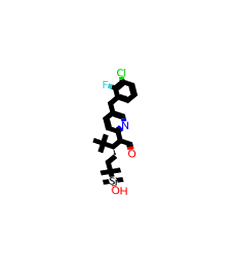 CC(C)(C)[C@@H](CCC(C)(C)[Si](C)(C)O)C(C=O)c1ccc(Cc2cccc(Cl)c2F)cn1